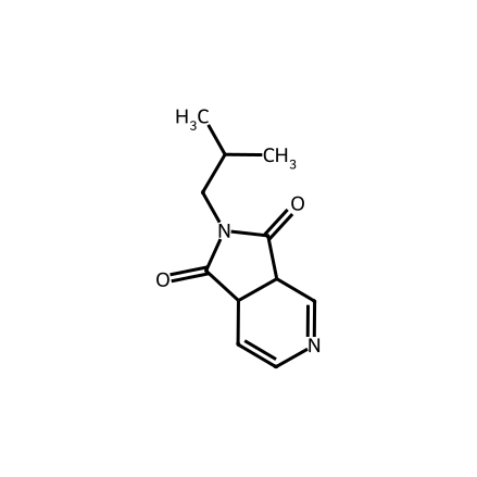 CC(C)CN1C(=O)C2C=CN=CC2C1=O